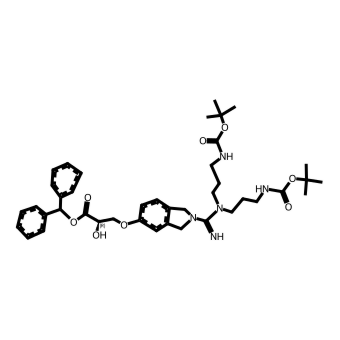 CC(C)(C)OC(=O)NCCCN(CCCNC(=O)OC(C)(C)C)C(=N)N1Cc2ccc(OC[C@@H](O)C(=O)OC(c3ccccc3)c3ccccc3)cc2C1